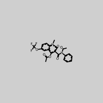 CC(=O)Oc1c(C(=O)N(C(C)=O)c2ccccc2)c(=O)n(C)c2ccc(OC(F)(F)F)cc12